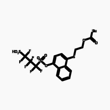 CCC(C)C(=O)OCCSc1ccc(OS(=O)(=O)C(F)(F)C(F)(F)C(F)(F)S(=O)(=O)O)c2ccccc12